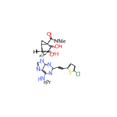 CCCNc1nc(C#Cc2ccc(Cl)s2)nc2c1ncn2[C@@H]1[C@@H]2C3CC3(C(=O)NC)[C@@H](O)[C@@]21O